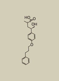 C[C](C[C@@H](C)c1ccc(OCCCc2ccccc2)cc1)P(=O)(O)O